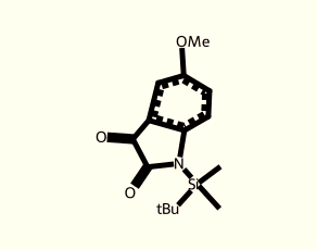 COc1ccc2c(c1)C(=O)C(=O)N2[Si](C)(C)C(C)(C)C